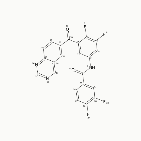 O=C(Nc1cc(F)c(F)c(C(=O)c2ccc3ncncc3c2)c1)c1ccc(F)c(F)c1